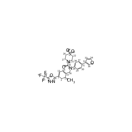 CC1CC(c2nnc(C(F)(F)F)o2)=CC=C1CN(C(=O)N1CCS(=O)(=O)CC1)c1ccc(-c2ccoc2)cc1